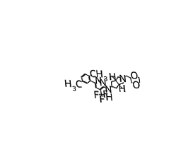 Cc1ccc(C)c(-c2cc(C(F)(F)F)c(NC3C[C@@H]4CN(CC5COCCO5)C[C@@H]4C3)nn2)c1